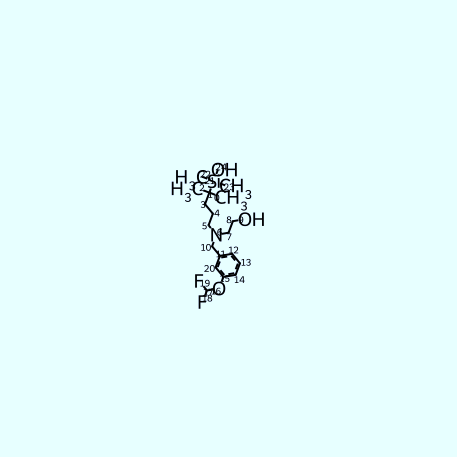 CC(C)(CCCN(CCO)Cc1cccc(OC(F)F)c1)[Si](C)(C)O